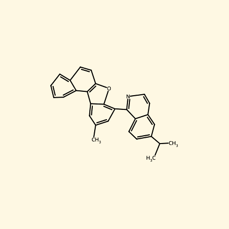 Cc1cc(-c2nccc3cc(C(C)C)ccc23)c2oc3ccc4ccccc4c3c2c1